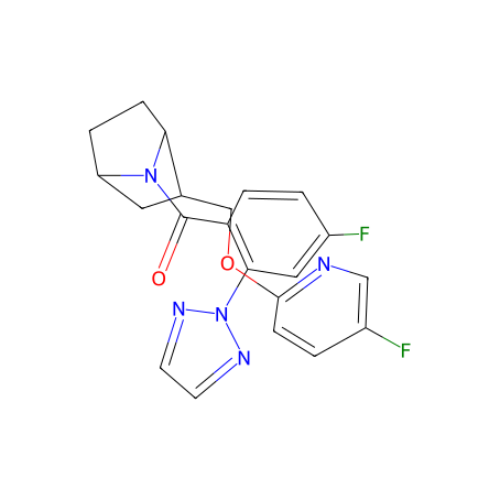 O=C(c1ccc(F)cc1-n1nccn1)N1C2CCC1C(COc1ccc(F)cn1)C2